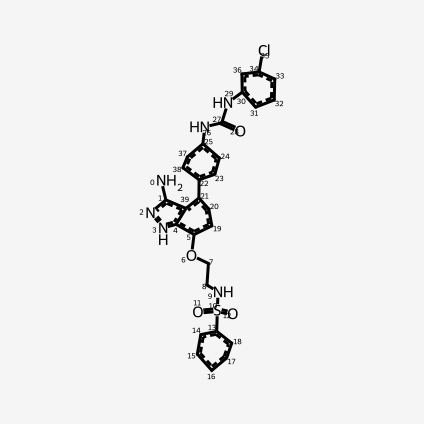 Nc1n[nH]c2c(OCCNS(=O)(=O)c3ccccc3)ccc(-c3ccc(NC(=O)Nc4cccc(Cl)c4)cc3)c12